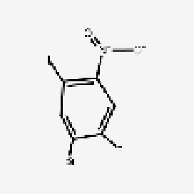 O=[N+]([O-])c1cc(F)c(Br)cc1I